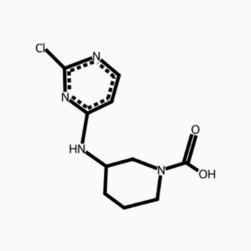 O=C(O)N1CCCC(Nc2ccnc(Cl)n2)C1